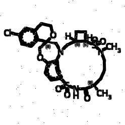 C[C@@H]1CCCN(C)S(=O)(=O)[C@@H]2CC[C@H]2CN2C[C@]3(COc4ccc(cc42)S(=O)(=O)NC1=O)OCCc1cc(Cl)ccc13